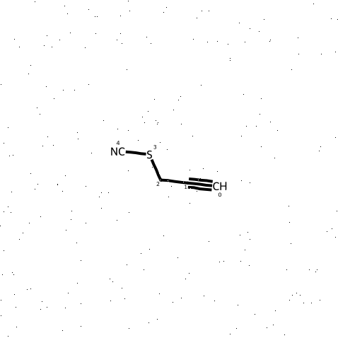 C#CCSC#N